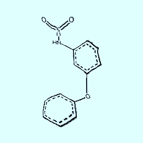 O=[SH](=O)Nc1cccc(Oc2ccccc2)c1